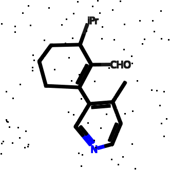 Cc1ccncc1C1=C(C=O)C(C(C)C)CCC1